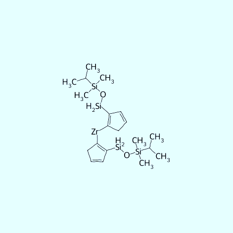 CC(C)[Si](C)(C)O[SiH2]C1=[C]([Zr][C]2=C([SiH2]O[Si](C)(C)C(C)C)C=CC2)CC=C1